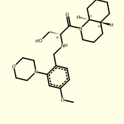 COc1ccc(CN[C@H](CO)C(=O)N2CCC[C@H]3CCCC[C@@H]32)c(N2CCOCC2)c1